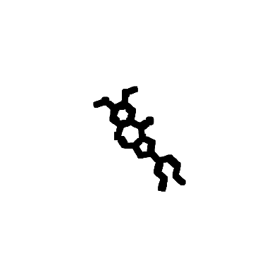 C=C/C=C(\C=C/CC)C1=CN2C(=O)c3cc(OC)c(OC)cc3N=CC2C1